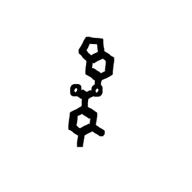 Cc1ccc(C(=O)Oc2ccc3c(c2)CCC3)cc1C